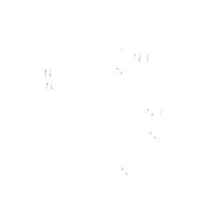 Cn1cc(-c2ccc(N(C(=O)NCC(C)(C)C)C3CCC(Nc4ccc(C#N)cn4)CC3)cc2)cn1